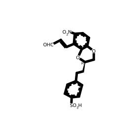 O=CC=Cc1c([N+](=O)[O-])ccc2c1O[C@H](CCc1ccc(S(=O)(=O)O)cc1)CO2